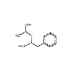 CON(C)CC(Cc1ccccc1)C(=O)O